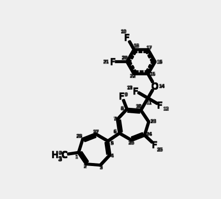 CC1=CCC=C(C2=CC(F)=C(C(F)(F)Oc3ccc(F)c(F)c3)CC(F)=C2)C=C1